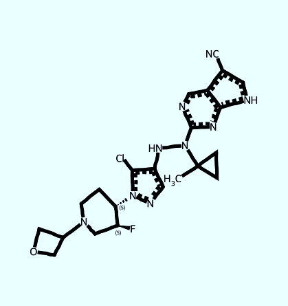 CC1(N(Nc2cnn([C@H]3CCN(C4COC4)C[C@@H]3F)c2Cl)c2ncc3c(C#N)c[nH]c3n2)CC1